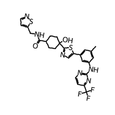 Cc1cc(Nc2nccc(C(F)(F)F)n2)cc(-c2cnc(C3(O)CCC(C(=O)NCc4ccns4)CC3)s2)c1